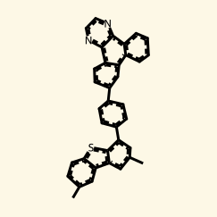 Cc1ccc2sc3c(-c4ccc(-c5ccc6c(c5)c5ccccc5c5nccnc65)cc4)cc(C)cc3c2c1